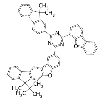 CC1(C)c2ccccc2-c2ccc(-c3nc(-c4ccc5oc6cc7c(cc6c5c4)-c4ccccc4C7(C)C(C)(C)C)nc(-c4cccc5c4oc4ccccc45)n3)cc21